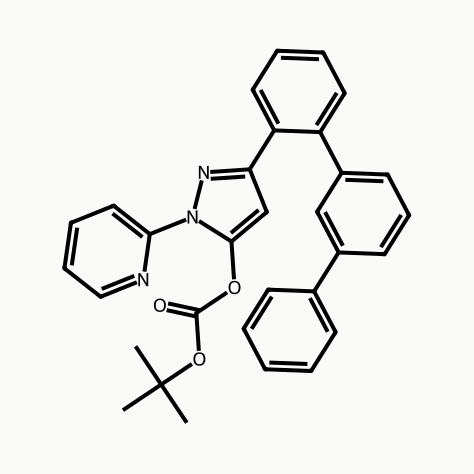 CC(C)(C)OC(=O)Oc1cc(-c2ccccc2-c2cccc(-c3ccccc3)c2)nn1-c1ccccn1